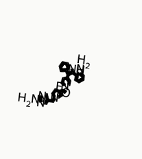 Nc1ncc(CN2CCC(F)(C(=O)N3CC=C(c4c(-c5ccccc5N)[nH]c5ccccc45)CC3)CC2)cn1